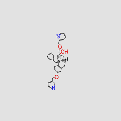 O[C@]1(COCc2ccccn2)CC[C@@]2(Cc3ccccc3)c3ccc(OCc4cccnc4)cc3CC[C@@H]2C1